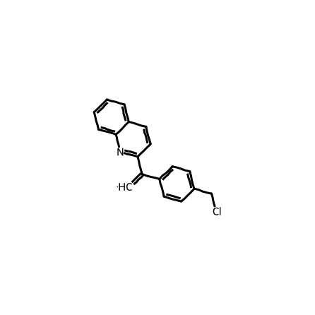 [CH]=C(c1ccc(CCl)cc1)c1ccc2ccccc2n1